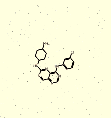 NC1CCC(Nc2ncc3ncnc(Nc4cccc(Cl)c4)c3n2)CC1